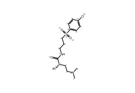 CC(C)N(CCN(C)C)C(=O)NCCCS(=O)(=O)c1ccc(Cl)cc1